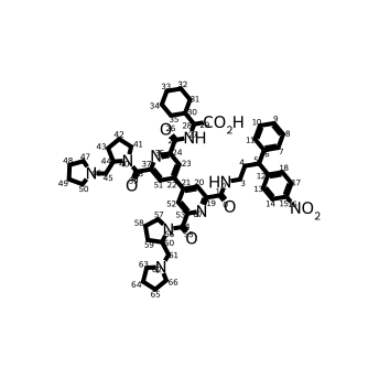 O=C(NCCC(c1ccccc1)c1ccc([N+](=O)[O-])cc1)c1cc(-c2cc(C(=O)NC(C(=O)O)C3CCCCC3)nc(C(=O)N3CCCC3CN3CCCC3)c2)cc(C(=O)N2CCCC2CN2CCCC2)n1